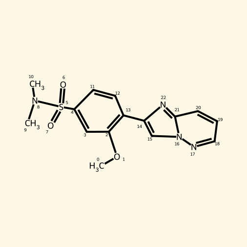 COc1cc(S(=O)(=O)N(C)C)ccc1-c1cn2ncccc2n1